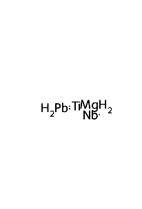 [MgH2].[Nb].[PbH2].[Ti]